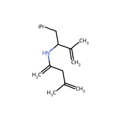 C=C(C)CC(=C)NC(CC(C)C)C(=C)C